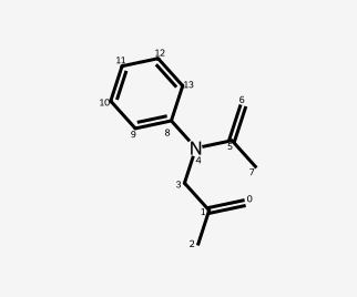 C=C(C)CN(C(=C)C)c1ccccc1